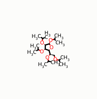 CC(C)OC[C@@H](OC(C)C)[C@H]1O[C@H](OC(C)C)[C@@H](OC(C)C)[C@H]1OC(C)C